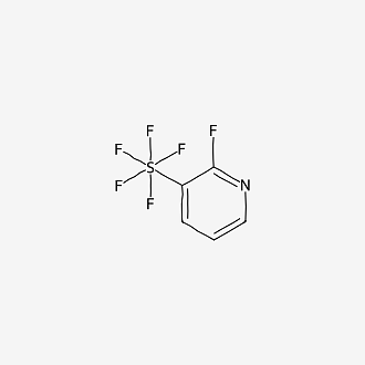 Fc1ncccc1S(F)(F)(F)(F)F